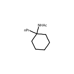 CCCC1(NC(C)=O)CCCCC1